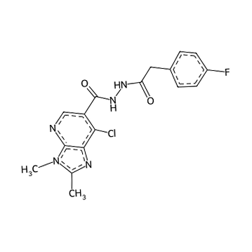 Cc1nc2c(Cl)c(C(=O)NNC(=O)Cc3ccc(F)cc3)cnc2n1C